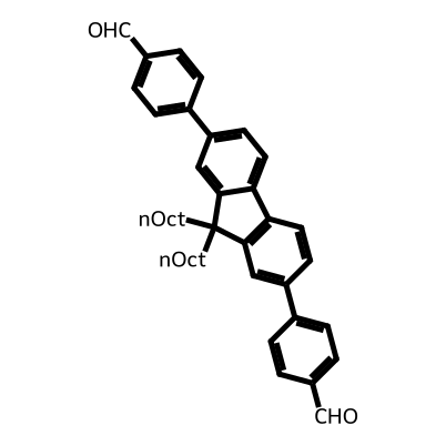 CCCCCCCCC1(CCCCCCCC)c2cc(-c3ccc(C=O)cc3)ccc2-c2ccc(-c3ccc(C=O)cc3)cc21